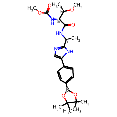 COC(=O)N[C@H](C(=O)N[C@@H](C)c1ncc(-c2ccc(B3OC(C)(C)C(C)(C)O3)cc2)[nH]1)[C@@H](C)OC